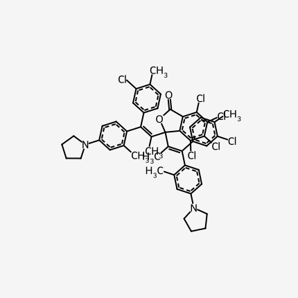 CC(=C(c1ccc(C)c(Cl)c1)c1ccc(N2CCCC2)cc1C)C1(C(C)=C(c2ccc(C)c(Cl)c2)c2ccc(N3CCCC3)cc2C)OC(=O)c2c(Cl)c(Cl)c(Cl)c(Cl)c21